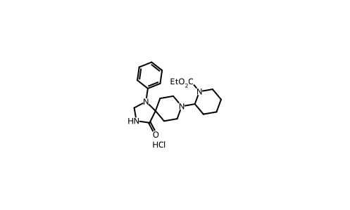 CCOC(=O)N1CCCCC1N1CCC2(CC1)C(=O)NCN2c1ccccc1.Cl